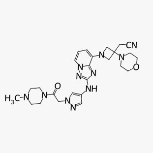 CN1CCN(C(=O)Cn2cc(Nc3nc4c(N5CC(CC#N)(N6CCOCC6)C5)cccn4n3)cn2)CC1